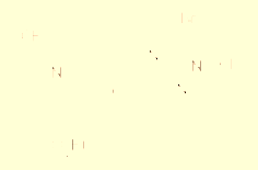 CCOC(=O)c1ccc(C(F)(F)F)nc1COCc1nc(Br)n(C)n1